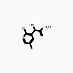 C=C(C(=O)OCC)C(O)c1cc(C)cnc1Cl